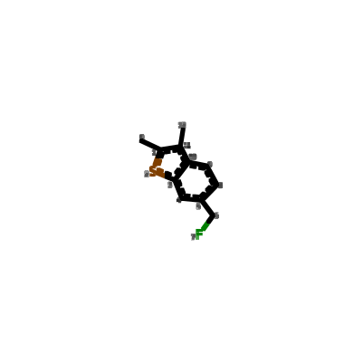 Cc1sc2cc(CF)ccc2c1C